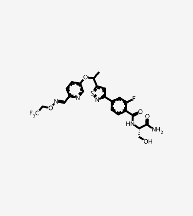 CC(Oc1ccc(/C=N/OCC(F)(F)F)nc1)c1cc(-c2ccc(C(=O)N[C@@H](CO)C(N)=O)c(F)c2)ns1